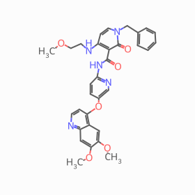 COCCNc1ccn(Cc2ccccc2)c(=O)c1C(=O)Nc1ccc(Oc2ccnc3cc(OC)c(OC)cc23)cn1